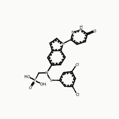 O=c1ccc(-n2ccc3cc(N(CP(=O)(O)O)Sc4cc(Cl)cc(Cl)c4)ccc32)n[nH]1